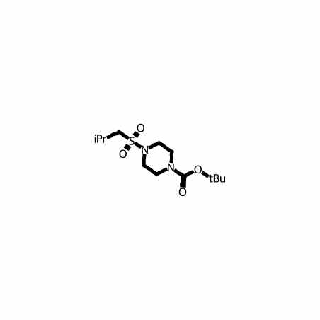 CC(C)CS(=O)(=O)N1CCN(C(=O)OC(C)(C)C)CC1